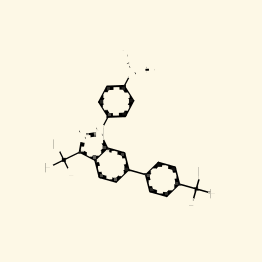 O=[N+]([O-])c1ccc(-n2nc(C(F)(F)F)c3ccc(-c4ccc(C(F)(F)F)cc4)cc32)cc1